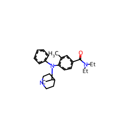 CCN(CC)C(=O)c1ccc(N(c2ccccc2)C2CN3CCC2CC3)c(C)c1